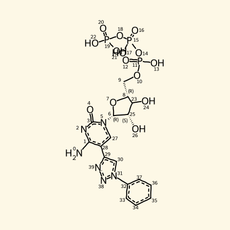 Nc1nc(=O)n([C@@H]2O[C@H](COP(=O)(O)OP(=O)(O)OP(=O)(O)O)C(O)[C@@H]2O)cc1-c1cn(-c2ccccc2)nn1